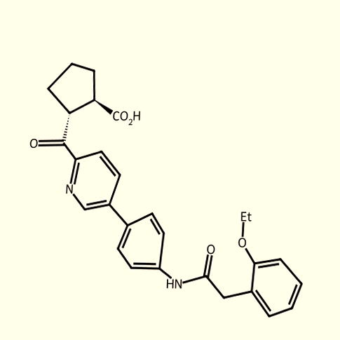 CCOc1ccccc1CC(=O)Nc1ccc(-c2ccc(C(=O)[C@@H]3CCC[C@H]3C(=O)O)nc2)cc1